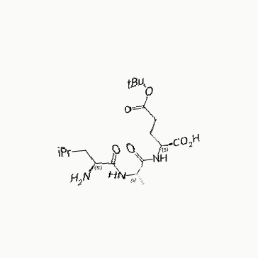 CC(C)C[C@H](N)C(=O)N[C@@H](C)C(=O)N[C@@H](CCC(=O)OC(C)(C)C)C(=O)O